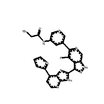 CC(C)(C)CC(=O)Nc1cncc(-c2ncc3[nH]nc(-c4nc5c(-c6cccs6)ccnc5[nH]4)c3c2F)c1